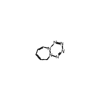 C1=CCN2N=NN=NN2C=C1